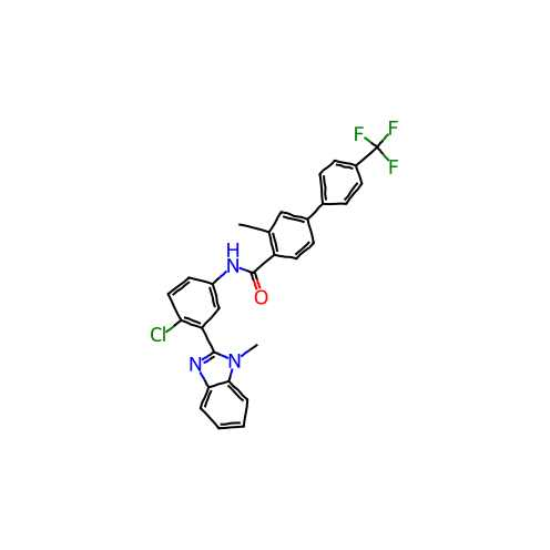 Cc1cc(-c2ccc(C(F)(F)F)cc2)ccc1C(=O)Nc1ccc(Cl)c(-c2nc3ccccc3n2C)c1